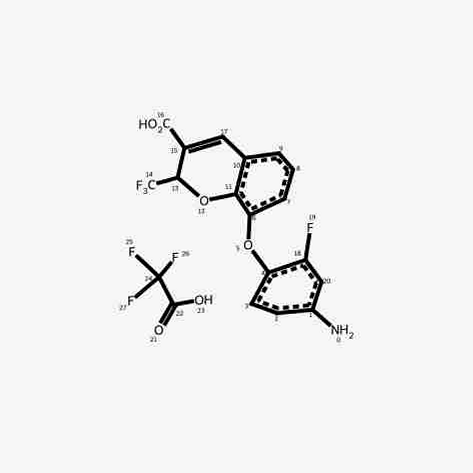 Nc1ccc(Oc2cccc3c2OC(C(F)(F)F)C(C(=O)O)=C3)c(F)c1.O=C(O)C(F)(F)F